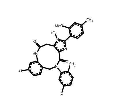 COc1cc(C)ccc1-c1nc2c(n1C(C)C)CC(=O)Nc1cc(Cl)ccc1CN(c1cc(Cl)ccc1C)C2=O